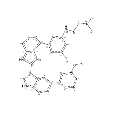 COc1cncc(-c2cc3c(-c4nc5c(-c6cc(F)cc(NCCN(C)C)c6)cccc5[nH]4)n[nH]c3cn2)c1